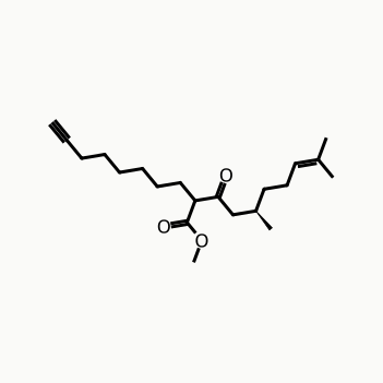 C#CCCCCCCC(C(=O)C[C@H](C)CCC=C(C)C)C(=O)OC